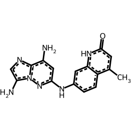 Cc1cc(=O)[nH]c2cc(Nc3cc(N)c4ncc(N)n4n3)ccc12